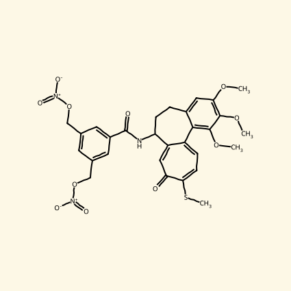 COc1cc2c(c(OC)c1OC)-c1ccc(SC)c(=O)cc1C(NC(=O)c1cc(CO[N+](=O)[O-])cc(CO[N+](=O)[O-])c1)CC2